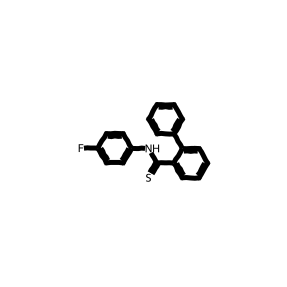 Fc1ccc(NC(=S)c2ccccc2-c2ccccc2)cc1